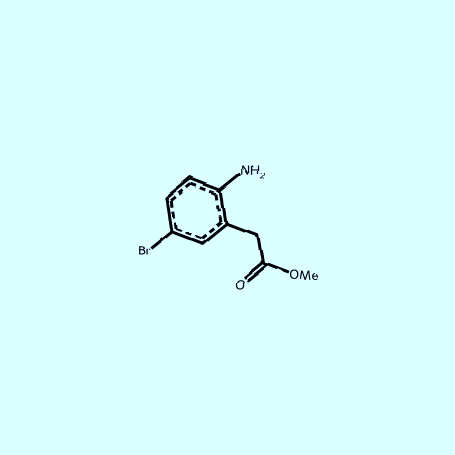 COC(=O)Cc1cc(Br)ccc1N